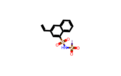 C=Cc1cc(S(=O)(=O)NS(=O)(=O)I)c2ccccc2c1